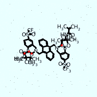 C=C(C)C(=O)NCCCN(Cc1cc(S(=O)(=O)C(F)(F)F)ccc1B1OC(C)(C)C(C)(C)O1)Cc1c2ccccc2c(CN(CCC(=O)OC(C)(C)C)Cc2cc(S(=O)(=O)C(F)(F)F)ccc2B2OC(C)(C)C(C)(C)O2)c2ccccc12